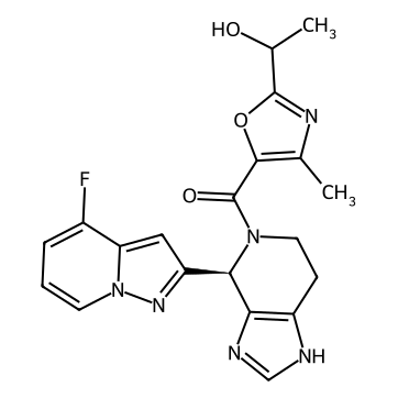 Cc1nc(C(C)O)oc1C(=O)N1CCc2[nH]cnc2[C@H]1c1cc2c(F)cccn2n1